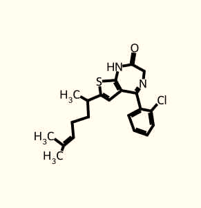 CC(C)=CCCC(C)c1cc2c(s1)NC(=O)CN=C2c1ccccc1Cl